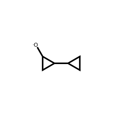 [O]C1CC1C1CC1